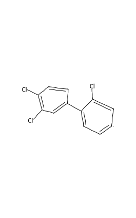 Clc1ccc(-c2cc[c]cc2Cl)cc1Cl